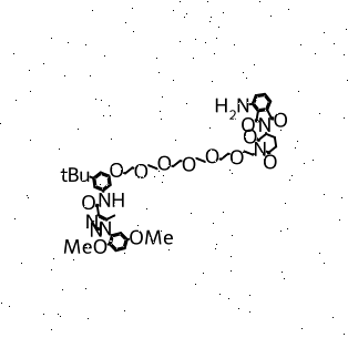 COc1ccc(OC)c(-n2nnc(C(=O)Nc3cc(OCCOCCOCCOCCOCCOCCN4C(=O)CCC(N5C(=O)c6cccc(N)c6C5=O)C4=O)cc(C(C)(C)C)c3)c2C)c1